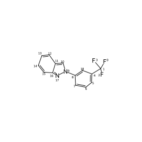 FC(F)(F)c1cccc(-n2cc3ccccc3n2)c1